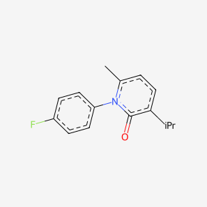 Cc1ccc(C(C)C)c(=O)n1-c1ccc(F)cc1